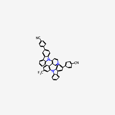 N#Cc1ccc(-c2ccc3c(c2)c2ccccc2n3-c2ccncc2-c2ccc(C(F)(F)F)cc2-n2c3ccccc3c3cc(-c4ccc(C#N)cc4)ccc32)cc1